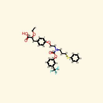 CCOC(Cc1ccc(OCCN(CCCSc2ccccc2)C(=O)Oc2cccc(C(F)(F)F)c2)cc1)C(=O)O